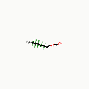 OCCOCCC(F)(F)C(F)(F)C(F)(F)C(F)(F)C(F)(F)C(F)(F)F